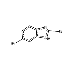 CCc1nc2ccc(C(C)C)cc2[nH]1